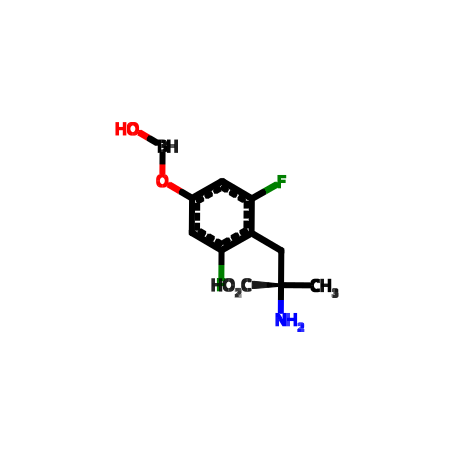 C[C@](N)(Cc1c(F)cc(OBO)cc1F)C(=O)O